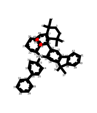 CC1(C)CCC(C)(C)c2c(-c3cc4c(cc3N(c3ccccc3)c3ccc(-c5ccccc5)cc3)C(C)(C)c3ccccc3-4)cccc21